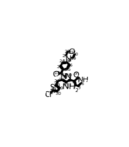 Nc1c(-c2ccc[nH]c2=O)nn(C(=O)c2ccc(N3CCOCC3)cc2)c1Cc1ccc(Cl)s1